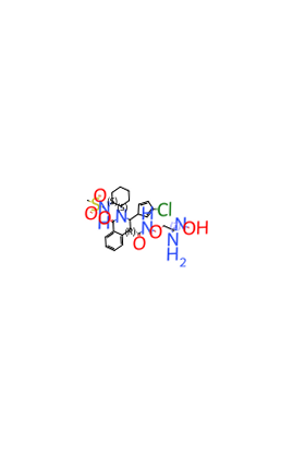 CS(=O)(=O)N[C@H]1CCCC[C@@H]1N1C(=O)c2ccccc2[C@@H](C(=O)NOC/C(N)=N/O)C1C1C=CC(Cl)=C1